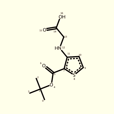 CC(C)(C)OC(=O)c1sccc1NCC(=O)O